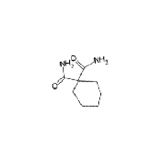 NC(=O)C1(C(N)=O)CCCCC1